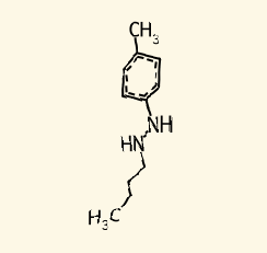 CCCCNNc1ccc(C)cc1